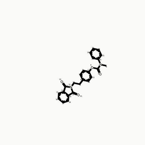 CN(C(=O)Oc1ccc(CCN2C(=O)c3ccccc3C2=O)cc1)c1ccccc1